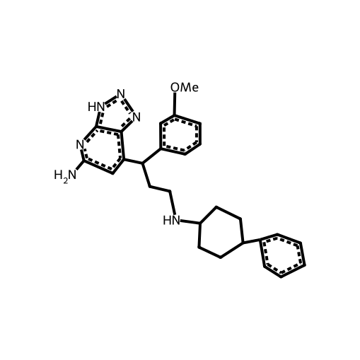 COc1cccc(C(CCNC2CCC(c3ccccc3)CC2)c2cc(N)nc3[nH]nnc23)c1